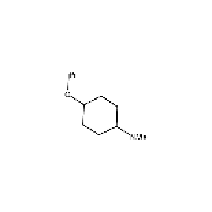 CNC1CCC(OC(C)C)CC1